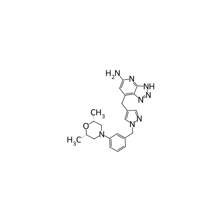 C[C@@H]1CN(c2cccc(Cn3cc(Cc4cc(N)nc5[nH]nnc45)cn3)c2)C[C@H](C)O1